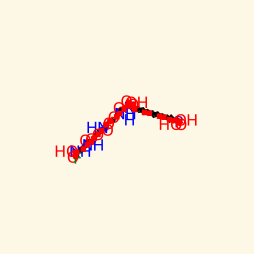 O=C(CC[C@H](NC(=O)CCCCCCCCCCCCCCCCCCP(=O)(O)O)C(=O)O)NCCOCCOCC(=O)NCCOCCOCC(=O)NCCCC[C@H](NO)C(=O)F